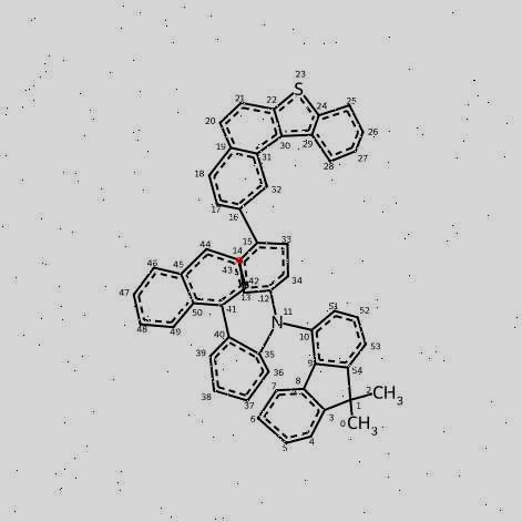 CC1(C)c2ccccc2-c2c(N(c3ccc(-c4ccc5ccc6sc7ccccc7c6c5c4)cc3)c3ccccc3-c3cccc4ccccc34)cccc21